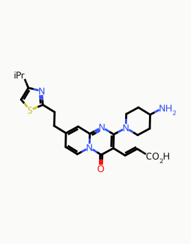 CC(C)c1csc(CCc2ccn3c(=O)c(C=CC(=O)O)c(N4CCC(N)CC4)nc3c2)n1